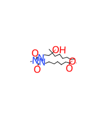 CCCCCCC(C)(O)CCn1c(=O)n(C)c(=O)n1CCCCCCC(=O)OC